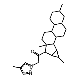 Cc1cnn(CC(=O)C2C3C(C)C3C3C4CCC5CC(C)CCC5C4CCC23C)c1